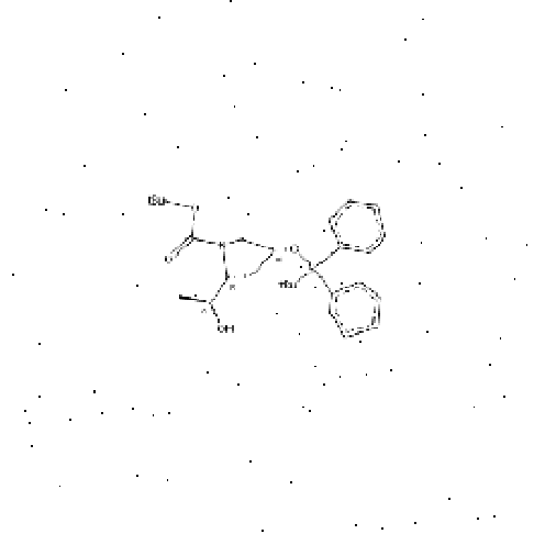 C[C@H](O)[C@H]1C[C@@H](O[Si](c2ccccc2)(c2ccccc2)C(C)(C)C)CN1C(=O)OC(C)(C)C